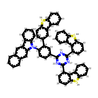 c1ccc2cc3c(cc2c1)c1ccccc1n3-c1ccc(-c2nc(-c3cccc4sc5ccccc5c34)nc(-c3cccc4sc5ccccc5c34)n2)cc1-c1ccc2sc3ccccc3c2c1